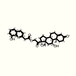 C[C@]12CCC(=O)C=C1CCC1C2[C@@H](O)C[C@@]2(C)C1CC[C@]2(O)C(=O)COC(=O)Cc1ccc2cccc(O)c2n1